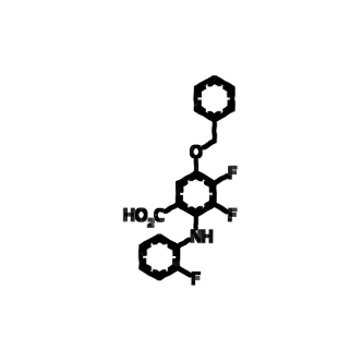 O=C(O)c1cc(OCc2ccccc2)c(F)c(F)c1Nc1ccccc1F